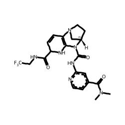 CN(C)C(=O)c1ccnc(NC(=O)N2C3=C(C=CC(C(=O)NCC(F)(F)F)N3)N3CC[C@H]2C3)c1